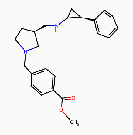 COC(=O)c1ccc(CN2CC[C@@H](CNC3C[C@H]3c3ccccc3)C2)cc1